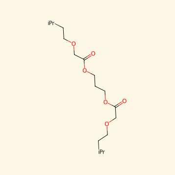 CC(C)CCOCC(=O)OCCCOC(=O)COCCC(C)C